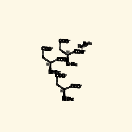 CC(=O)N[C@@H](CC(=O)[O-])C(=O)[O-].CC(=O)N[C@@H](CC(=O)[O-])C(=O)[O-].CC(=O)N[C@@H](CC(=O)[O-])C(=O)[O-].[Fe+3].[Fe+3]